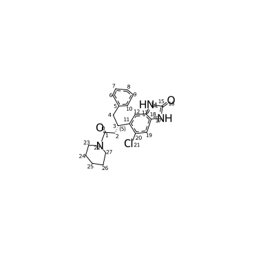 O=C(C[C@H](Cc1ccccc1)c1cc2[nH]c(=O)[nH]c2cc1Cl)N1CCCCC1